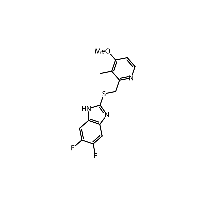 COc1ccnc(CSc2nc3cc(F)c(F)cc3[nH]2)c1C